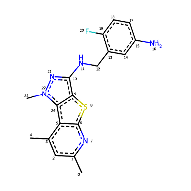 Cc1cc(C)c2c(n1)sc1c(NCc3cc(N)ccc3F)nn(C)c12